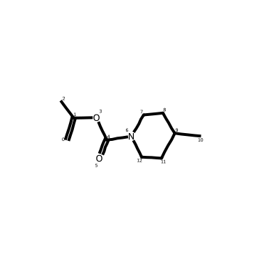 C=C(C)OC(=O)N1CCC(C)CC1